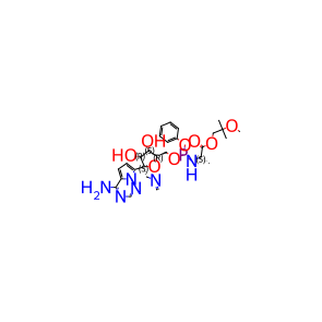 C=NC[C@@]1(c2ccc3c(N)ncnn23)O[C@H](COP(N[C@@H](C)C(=O)OCC(C)(C)OC)Oc2ccccc2)[C@@H](O)[C@H]1O